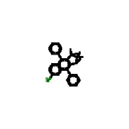 CC12CCC(c3c1c(-c1ccccc1)c1ccc(Br)cc1c3-c1ccccc1)C2(C)C